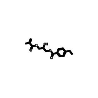 C=C(C)C(=O)OCC(O)COC(=O)c1ccc(CC)cc1